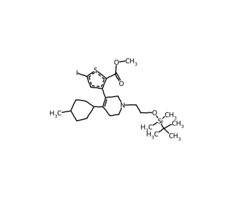 COC(=O)c1sc(I)cc1C1=C(C2CCC(C)CC2)CCN(CCO[Si](C)(C)C(C)(C)C)C1